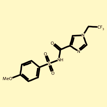 COc1ccc(S(=O)(=O)NC(=O)c2cn(CC(F)(F)F)cn2)cc1